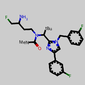 CNC(=O)N(CCC(N)CF)C(c1nc(-c2cccc(F)c2)cn1Cc1cccc(F)c1)C(C)(C)C